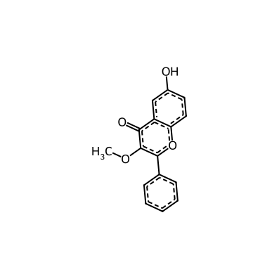 COc1c(-c2ccccc2)oc2ccc(O)cc2c1=O